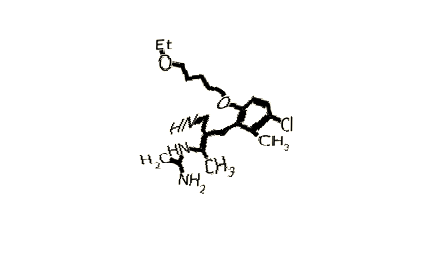 C=C(N)N/C(C)=C(\C=N)Cc1c(OCCCCCOCC)ccc(Cl)c1C